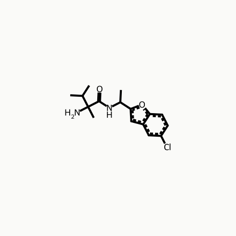 CC(NC(=O)C(C)(N)C(C)C)c1cc2cc(Cl)ccc2o1